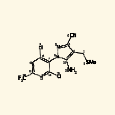 CSCc1c(C#N)nn(-c2c(Cl)cc(C(F)(F)F)cc2Cl)c1N